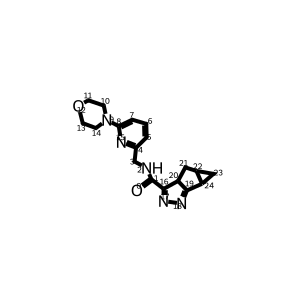 O=C(NCc1cccc(N2CCOCC2)n1)C1=NN=C2C1CC1CC21